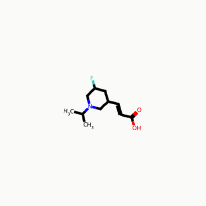 CC(C)N1CC(F)CC(/C=C/C(=O)O)C1